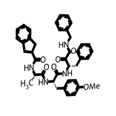 COc1ccc(C[C@H](NC(=O)[C@H](C)NC(=O)C2Cc3ccccc3C2)C(=O)N[C@@H](Cc2ccccc2)C(=O)C(=O)NCc2ccccc2)cc1